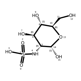 O=S(=O)(O)N[C@@H]1[C@@H](O)[C@H](O)[C@@H](CO)O[C@@H]1O